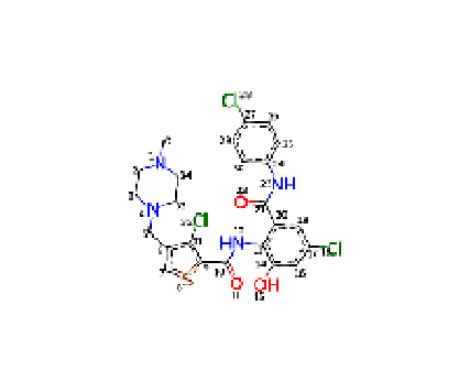 CN1CCN(Cc2csc(C(=O)Nc3c(O)cc(Cl)cc3C(=O)Nc3ccc(Cl)cc3)c2Cl)CC1